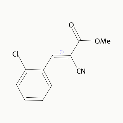 COC(=O)/C(C#N)=C/c1ccccc1Cl